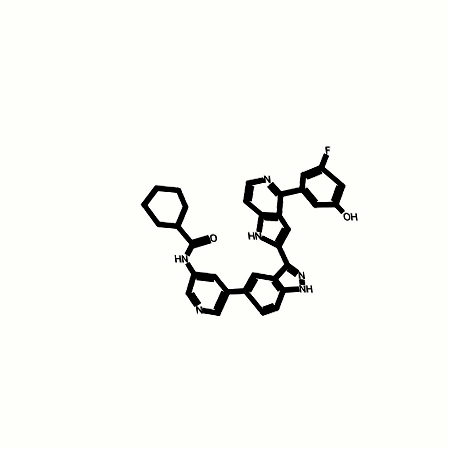 O=C(Nc1cncc(-c2ccc3[nH]nc(-c4cc5c(-c6cc(O)cc(F)c6)nccc5[nH]4)c3c2)c1)C1CCCCC1